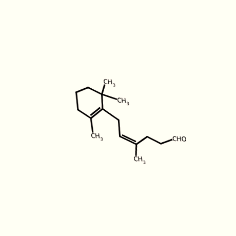 CC(=CCC1=C(C)CCCC1(C)C)CCC=O